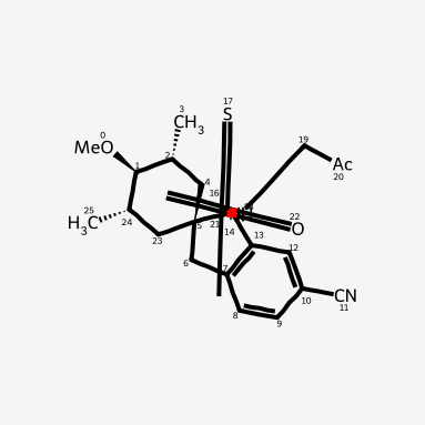 CO[C@H]1[C@H](C)C[C@@]2(Cc3ccc(C#N)cc3[C@]23NC(=S)N(CC(C)=O)C3=O)C[C@@H]1C